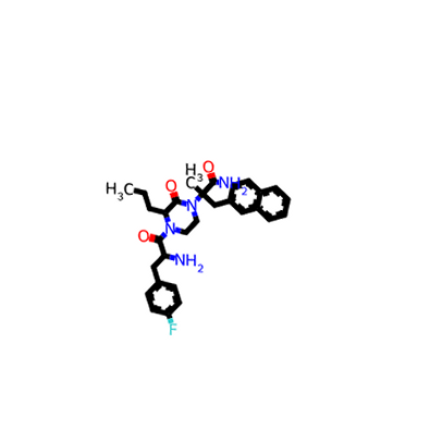 CCCC1C(=O)N(C(C)(Cc2ccc3ccccc3c2)C(N)=O)CCN1C(=O)C(N)Cc1ccc(F)cc1